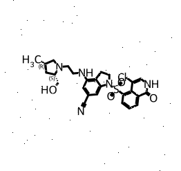 C[C@@H]1C[C@@H](CO)N(CCNc2cc(C#N)cc3c2CCN3S(=O)(=O)c2cccc3c(=O)[nH]cc(Cl)c23)C1